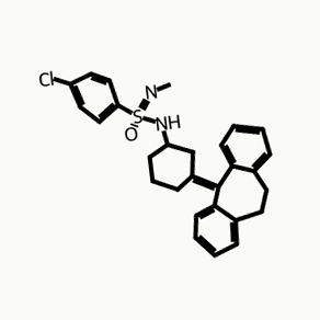 CN=S(=O)(NC1CCCC(=C2c3ccccc3CCc3ccccc32)C1)c1ccc(Cl)cc1